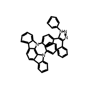 c1ccc(-c2nnn(-c3ccccc3)c2-c2ccc(-n3c4ccccc4c4ccc5c6ccccc6n(-c6ccccc6)c5c43)cc2)cc1